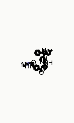 Cc1ccc2c(-c3ccnc(N[C@H]4CCN(C(=O)c5ccc(NC(=O)/C=C/CN(C)C)cc5)C4)n3)c(-c3ccccc3)nn2c1